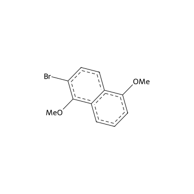 COc1cccc2c(OC)c(Br)ccc12